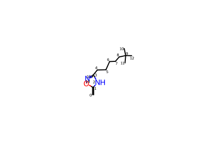 C=C1NC(CCCCCC(C)(C)C)=NO1